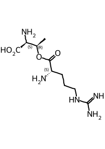 C[C@@H](OC(=O)[C@@H](N)CCCNC(=N)N)[C@H](N)C(=O)O